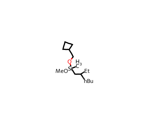 CCCCC(CC)C[Si](C)(OC)OCC1CCC1